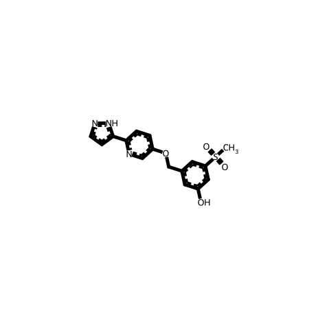 CS(=O)(=O)c1cc(O)cc(COc2ccc(-c3ccn[nH]3)nc2)c1